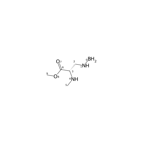 BNC[C@H](NC)C(=O)OC